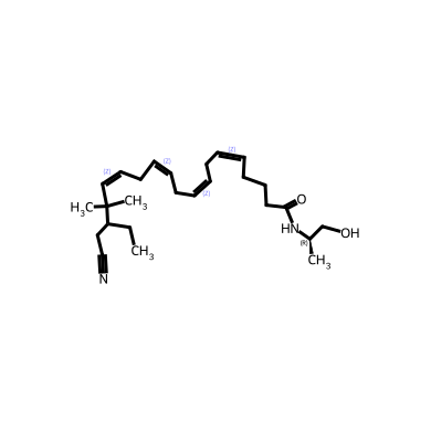 CCC(CC#N)C(C)(C)/C=C\C/C=C\C/C=C\C/C=C\CCCC(=O)N[C@H](C)CO